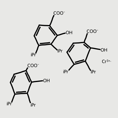 CC(C)c1ccc(C(=O)[O-])c(O)c1C(C)C.CC(C)c1ccc(C(=O)[O-])c(O)c1C(C)C.CC(C)c1ccc(C(=O)[O-])c(O)c1C(C)C.[Cr+3]